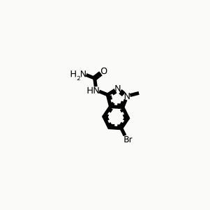 Cn1nc(NC(N)=O)c2ccc(Br)cc21